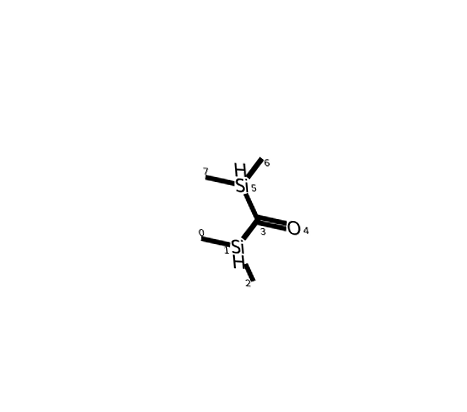 C[SiH](C)C(=O)[SiH](C)C